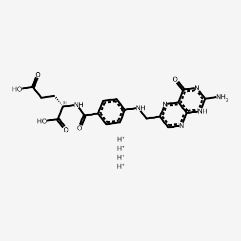 Nc1nc(=O)c2nc(CNc3ccc(C(=O)N[C@@H](CCC(=O)O)C(=O)O)cc3)cnc2[nH]1.[H+].[H+].[H+].[H+]